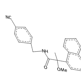 COC(C)(C(=O)NCc1ccc(C#N)cc1)c1cccc2ccccc12